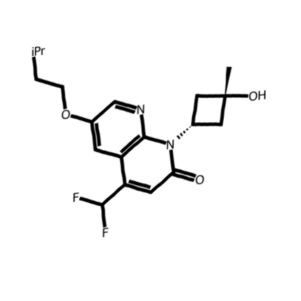 CC(C)CCOc1cnc2c(c1)c(C(F)F)cc(=O)n2[C@H]1C[C@@](C)(O)C1